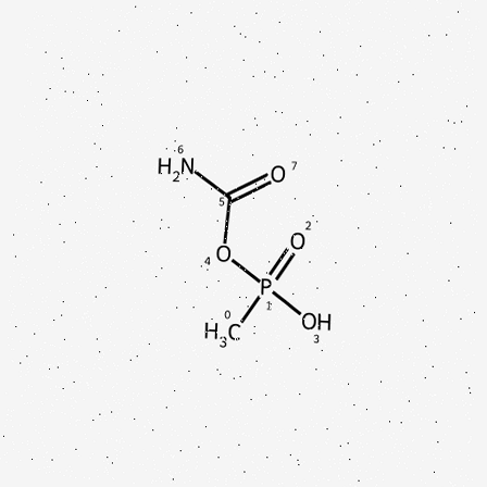 CP(=O)(O)OC(N)=O